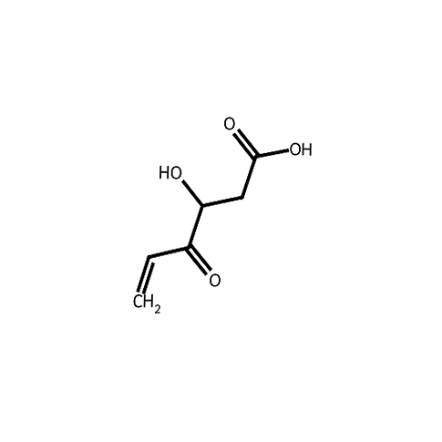 C=CC(=O)C(O)CC(=O)O